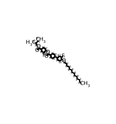 CCCCCCCCCCCCCCOc1ccc(-c2ccc(C(=O)Oc3ccc(C(=O)OCC(C)CC)cc3F)cc2)cc1F